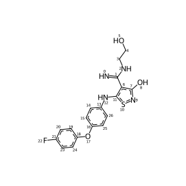 N=C(NCCO)c1c(O)nsc1Nc1ccc(Oc2ccc(F)cc2)cc1